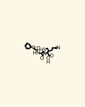 N#C/C=C/C1=C(C(=O)O)N2C(=O)C(NC(=O)COc3ccccc3)[C@H]2SC1